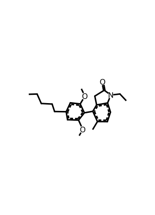 CCCCCc1cc(OC)c(-c2c(C)ccc3c2CC(=O)N3CC)c(OC)c1